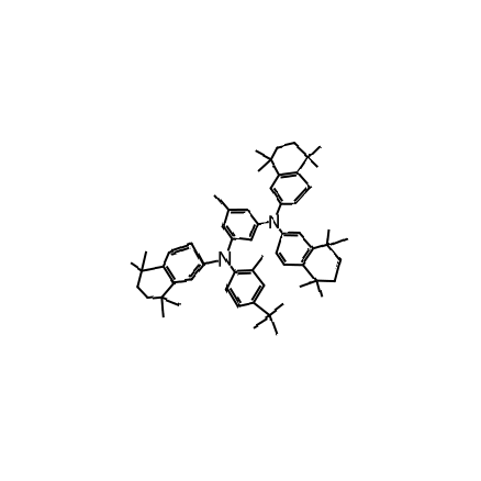 Cc1cc(N(c2ccc3c(c2)C(C)(C)CCC3(C)C)c2ccc3c(c2)C(C)(C)CCC3(C)C)cc(N(c2ccc3c(c2)C(C)(C)CCC3(C)C)c2ccc(C(C)(C)C)cc2C)c1